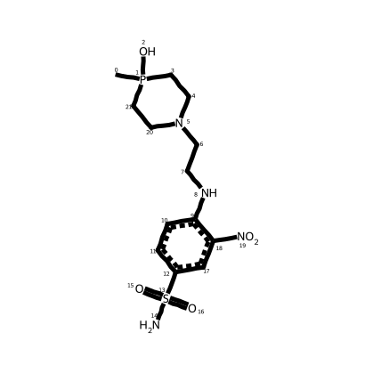 C[P]1(O)CCN(CCNc2ccc(S(N)(=O)=O)cc2[N+](=O)[O-])CC1